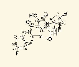 O=C1NC2(CC[C@@H]3C[C@@H]32)n2c1c1c(c(O)c2=O)C(=O)N(Cc2ccc(F)cc2F)CC1